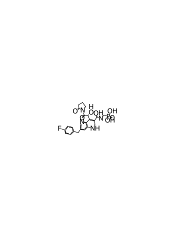 O=C(NCP(=O)(O)O)C1=C(C(O)C(=O)N2CCCC2=O)c2ncc(Cc3ccc(F)cc3)cc2NC1